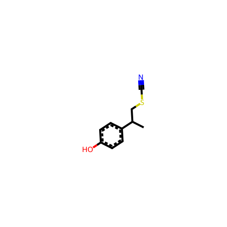 CC(CSC#N)c1ccc(O)cc1